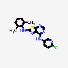 Cc1cccc(C)c1Nc1nc2c(Nc3ccc(Cl)nc3)ncnc2s1